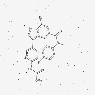 CCc1cc(C(=O)N(C)c2ccc(F)cc2)cn2c(-c3ccc(NC(=O)OC)nc3)cnc12